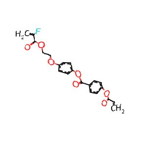 C=CC(=O)Oc1ccc(C(=O)Oc2ccc(OCCOC(=O)C(=C)F)cc2)cc1